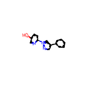 Oc1ccc(-n2cc(-c3ccccc3)cn2)nc1